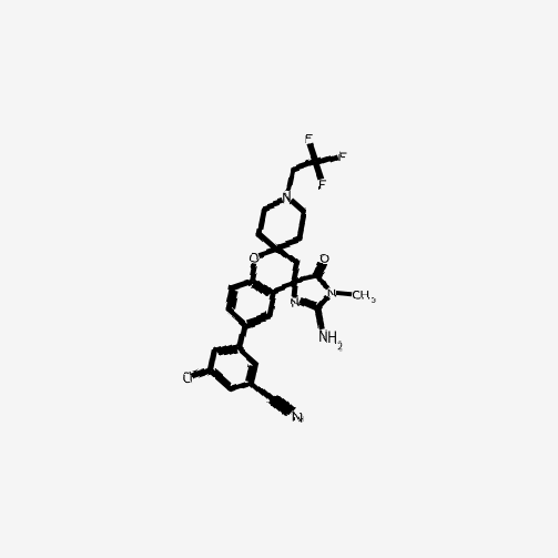 CN1C(=O)C2(CC3(CCN(CC(F)(F)F)CC3)Oc3ccc(-c4cc(Cl)cc(C#N)c4)cc32)N=C1N